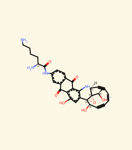 C[C@@H](O)[C@@]12O[C@]13c1cc(O)c4c(c1N[C@H]2C#C/C=C\C#C[C@H]3O)C(=O)c1ccc(NC(=O)[C@@H](N)CCCCN)cc1C4=O